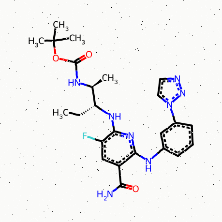 CC[C@@H](Nc1nc(Nc2cccc(-n3ccnn3)c2)c(C(N)=O)cc1F)[C@H](C)NC(=O)OC(C)(C)C